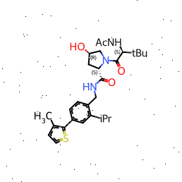 CC(=O)N[C@H](C(=O)N1C[C@H](O)C[C@H]1C(=O)NCc1ccc(-c2sccc2C)cc1C(C)C)C(C)(C)C